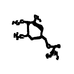 CC1=CC(COC(N)=O)CC(C)N1C